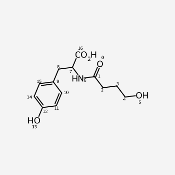 O=C(CCCO)NC(Cc1ccc(O)cc1)C(=O)O